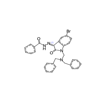 O=C(N/N=C1\C(=O)N(CN(Cc2ccccc2)Cc2ccccc2)c2ccc(Br)cc21)c1ccccc1